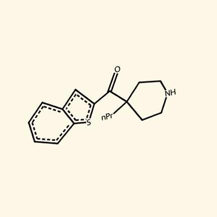 CCCC1(C(=O)c2cc3ccccc3s2)CCNCC1